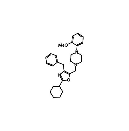 COc1ccccc1N1CCN(Cc2oc(C3CCCCC3)nc2Cc2ccccc2)CC1